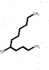 BC(CCCC)CCCCCC